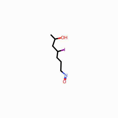 CC(O)CC(I)CCCN=O